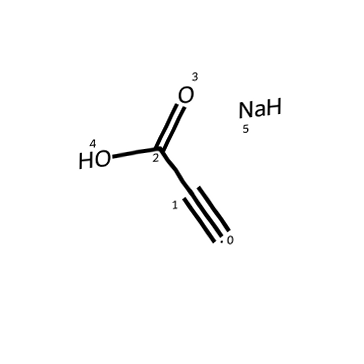 [C]#CC(=O)O.[NaH]